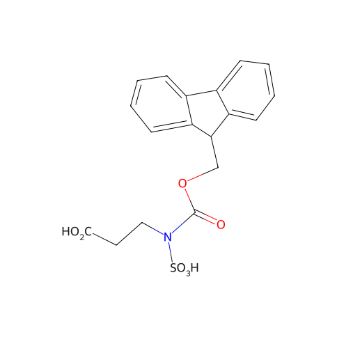 O=C(O)CCN(C(=O)OCC1c2ccccc2-c2ccccc21)S(=O)(=O)O